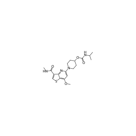 CNC(=O)c1csc2c(OC)cc(N3CCC(OC(=O)NC(C)C)CC3)nc12